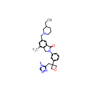 Cn1cnnc1CC1(c2cccc(N3Cc4c(cc(CN5CCCC(CC#N)C5)cc4C(F)(F)F)C3=O)c2)COC1